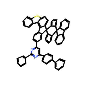 c1ccc(-c2ccc(-c3cc(-c4ccc5c(c4)C4(c6ccccc6C6(c7ccccc7-c7ccccc76)c6ccccc64)c4ccc6sc7ccccc7c6c4-5)nc(-c4ccccc4)n3)cc2)cc1